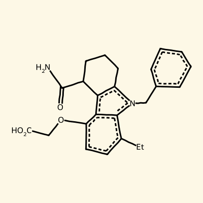 CCc1ccc(OCC(=O)O)c2c3c(n(Cc4ccccc4)c12)CCCC3C(N)=O